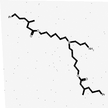 CC(C)CCCC(C)CC(=O)OCCCCCCN(CCCN)CCCCCCOC(=O)CC(C)CCCC(C)C